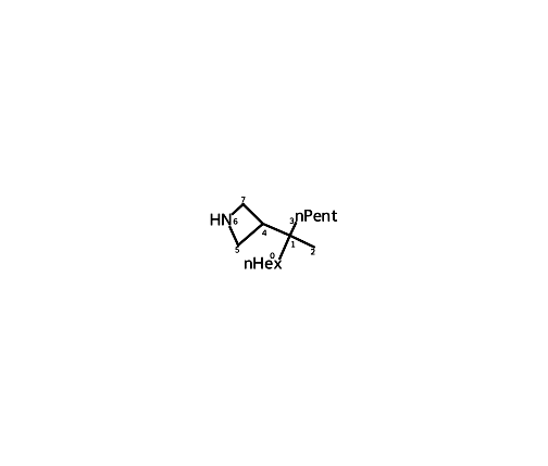 CCCCCCC(C)(CCCCC)C1CNC1